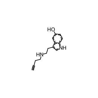 C#CCCNCCc1c[nH]c2ccc(O)cc12